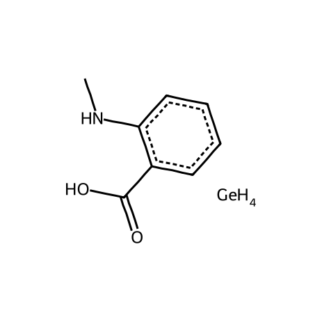 CNc1ccccc1C(=O)O.[GeH4]